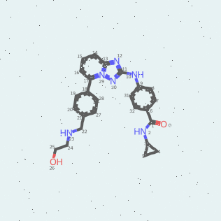 O=C(NC1CC1)c1ccc(Nc2nc3cccc(-c4ccc(CNCCO)cc4)n3n2)cc1